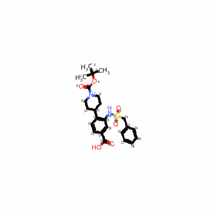 CC(C)(C)OC(=O)N1CCC(c2ccc(C(=O)O)cc2NS(=O)(=O)Cc2ccccc2)CC1